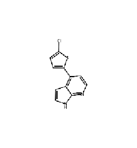 Clc1ccc(-c2ccnc3[nH]ccc23)s1